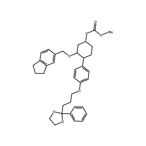 CC(C)(C)OC(=O)ON1CCC(c2ccc(OCCCC3(c4ccccc4)OCCO3)cc2)C(OCc2ccc3c(c2)CCC3)C1